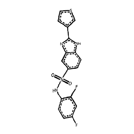 O=S(=O)(Nc1ccc(F)cc1F)c1ccc2[nH]c(-c3ccsc3)nc2c1